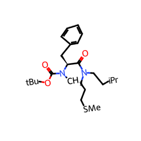 CSCCCN(CCC(C)C)C(=O)[C@H](Cc1ccccc1)N(C)C(=O)OC(C)(C)C